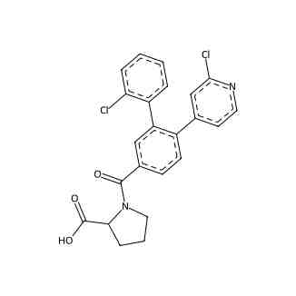 O=C(O)C1CCCN1C(=O)c1ccc(-c2ccnc(Cl)c2)c(-c2ccccc2Cl)c1